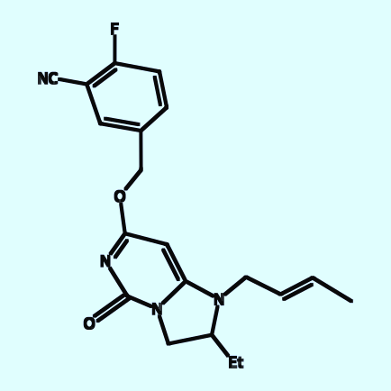 C/C=C/CN1c2cc(OCc3ccc(F)c(C#N)c3)nc(=O)n2CC1CC